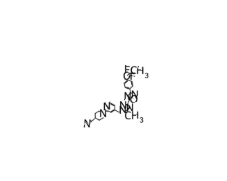 Cc1nc(-c2nc(-c3ccc(OC(C)(F)F)cc3)no2)nn1Cc1ccnc(N2CCC(C#N)CC2)c1